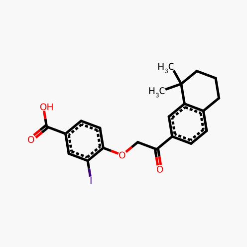 CC1(C)CCCc2ccc(C(=O)COc3ccc(C(=O)O)cc3I)cc21